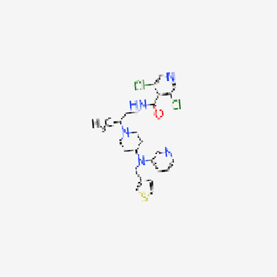 CC(CCNC(=O)c1c(Cl)cncc1Cl)N1CCC(N(Cc2ccsc2)c2cccnc2)CC1